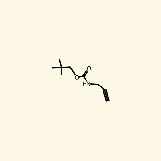 C#CCNC(=O)OCC(C)(C)C